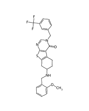 COc1ccccc1CNC1CCc2c(sc3ncn(Cc4cccc(C(F)(F)F)c4)c(=O)c23)C1